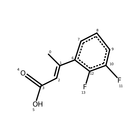 CC(=CC(=O)O)c1cccc(F)c1F